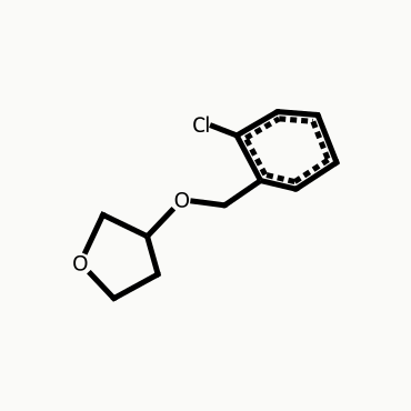 Clc1ccccc1COC1CCOC1